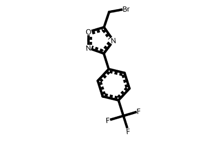 FC(F)(F)c1ccc(-c2noc(CBr)n2)cc1